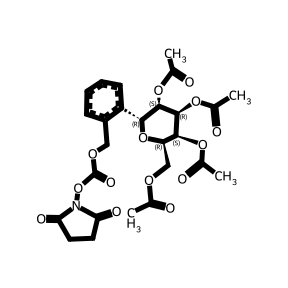 CC(=O)OC[C@H]1O[C@H](c2ccccc2COC(=O)ON2C(=O)CCC2=O)[C@H](OC(C)=O)[C@@H](OC(C)=O)[C@H]1OC(C)=O